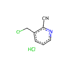 Cl.N#Cc1ncccc1CCl